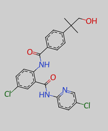 CC(C)(CO)c1ccc(C(=O)Nc2ccc(Cl)cc2C(=O)Nc2ccc(Cl)cn2)cc1